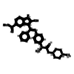 COC(=O)c1ccc2[nH]c(O)c(C(=Nc3ccc(N(C)C(=O)CN4CCN(C)CC4)cc3)c3ccccc3)c2c1